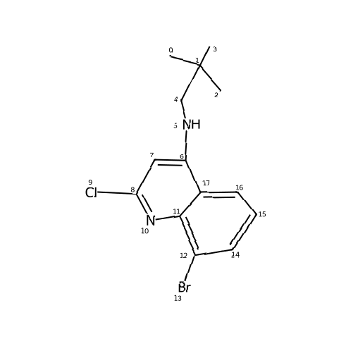 CC(C)(C)CNc1cc(Cl)nc2c(Br)cccc12